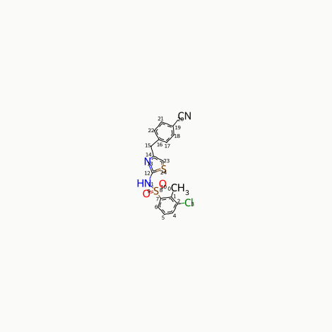 Cc1c(Cl)cccc1S(=O)(=O)Nc1nc(Cc2ccc(C#N)cc2)cs1